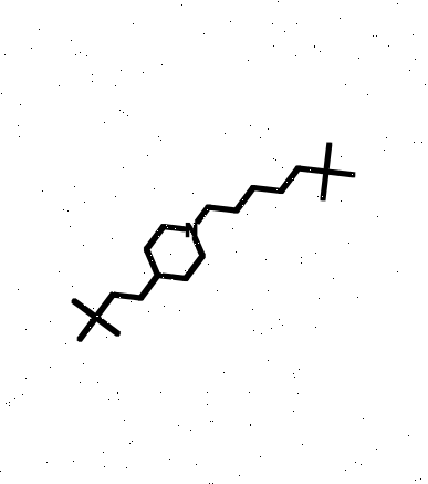 CC(C)(C)CCCCCN1CCC(CCC(C)(C)C)CC1